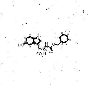 O=C(N[C@@H](Cc1c[nH]c2ccc(O)cc12)C(=O)O)OCc1ccccc1